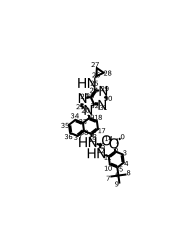 COc1ccc(C(C)(C)C)cc1NC(=O)Nc1ccc(-n2cnc3c(NC4CC4)ncnc32)c2ccccc12